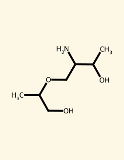 CC(CO)OCC(N)C(C)O